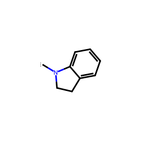 [C]N1CCc2ccccc21